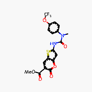 COC(=O)c1cc2sc(NC(=O)N(C)c3ccc(OC(F)(F)F)cc3)cc2oc1=O